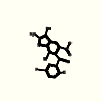 Cn1nc2c(Br)c(C(=O)c3cc(F)ccc3Cl)c([N+](=O)[O-])cc2c1O